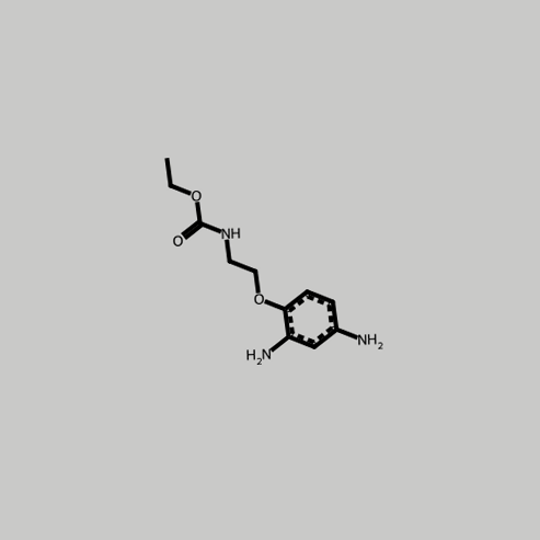 CCOC(=O)NCCOc1ccc(N)cc1N